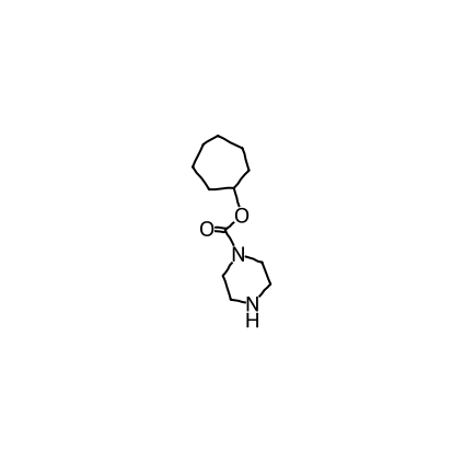 O=C(OC1CCCCCC1)N1CCNCC1